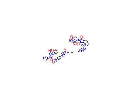 Nc1nnc(-c2ccccc2O)cc1OC1CCCN(c2ccc(N3CCN(C(=O)CCCCCCCCCn4cc(CNc5cccc6c5C(=O)N(C5CCC(=O)NC5=O)C6=O)nn4)CC3)cc2)C1